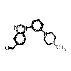 CN1CCN(c2cccc(-n3cnc4cc(C=O)ccc43)c2)CC1